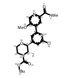 CNC(=O)c1cc(-c2cc([C@@H]3OCCN(C(=O)OC(C)(C)C)[C@H]3C)cc(Cl)n2)c(OC)cn1